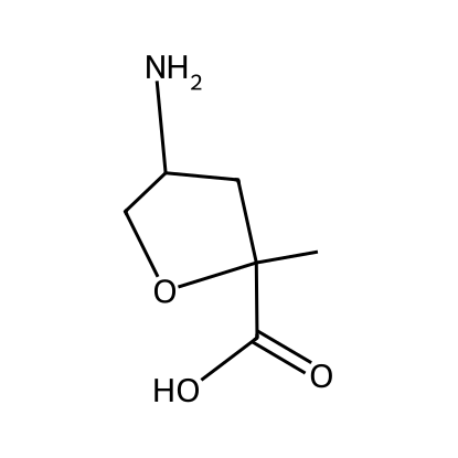 CC1(C(=O)O)CC(N)CO1